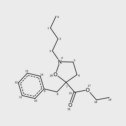 CCCCN1CCC(Cc2ccccc2)(C(=O)OCC)O1